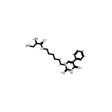 CC(C)CC(C(=O)OCCCCCCn1cc(-c2ccccc2)c(=O)[nH]c1=O)C(C)C